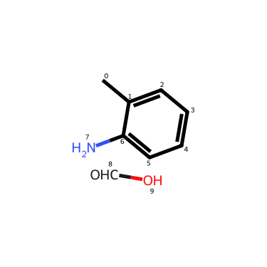 Cc1ccccc1N.O=CO